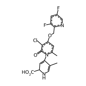 CC1=CNC(C(=O)O)C=C1n1c(C)cc(OCc2ncc(F)cc2F)c(Cl)c1=O